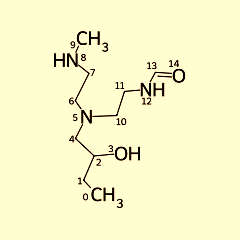 CCC(O)CN(CCNC)CCNC=O